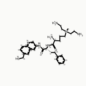 C[N+](CCN)(CCN)CCC[C@H](N)C(=O)N[C@H](CCc1ccccc1)C(=O)Nc1cnc2ccc(CS)cc2c1